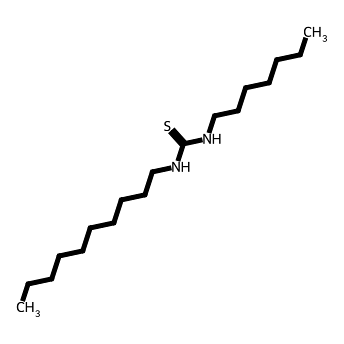 CCCCCCCCCCNC(=S)NCCCCCCC